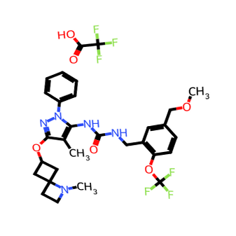 COCc1ccc(OC(F)(F)F)c(CNC(=O)Nc2c(C)c(OC3CC4(CCN4C)C3)nn2-c2ccccc2)c1.O=C(O)C(F)(F)F